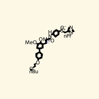 CCCCOCCOc1ccc(-c2cc(/C=C/C(=O)Nc3ccc([S@+]([O-])Cc4cncn4CCC)cc3)c(OC)c(OC)c2)cc1